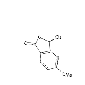 COc1ccc2c(n1)C(O)OC2=O